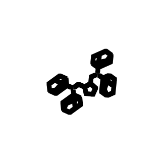 C1CC(CP(C2C3CC4CC(C3)CC2C4)C2C3CC4CC(C3)CC2C4)C(CP(C2C3CC4CC(C3)CC2C4)C2C3CC4CC(C3)CC2C4)C1